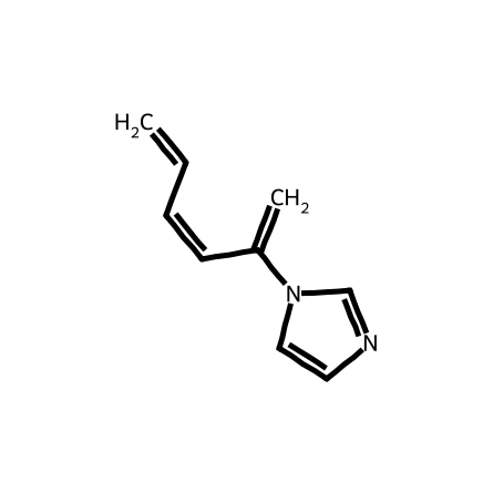 C=C/C=C\C(=C)n1ccnc1